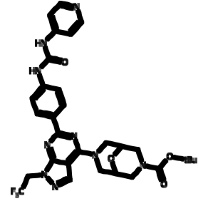 CC(C)(C)OC(=O)N1CC2CN(c3nc(-c4ccc(NC(=O)Nc5ccncc5)cc4)nc4c3cnn4CC(F)(F)F)CC(C1)O2